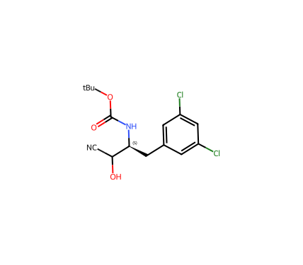 CC(C)(C)OC(=O)N[C@@H](Cc1cc(Cl)cc(Cl)c1)C(O)C#N